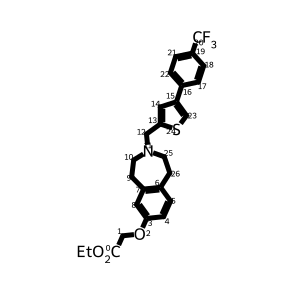 CCOC(=O)COc1ccc2c(c1)CCN(Cc1cc(-c3ccc(C(F)(F)F)cc3)cs1)CC2